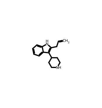 C=CCc1[nH]c2ccccc2c1C1CCNCC1